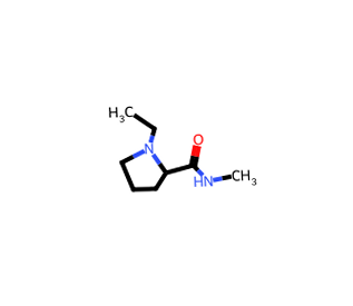 CCN1CCCC1C(=O)NC